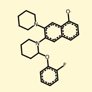 [O]c1cccc2cc(N3CCCCC3Oc3ccccc3F)c(N3CCCCC3)cc12